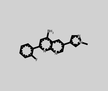 Bc1cc(-c2ccccc2F)nc2ncc(-c3cnn(C)c3)cc12